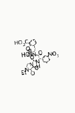 CCN1CCN(C(=O)NC(C(=O)N[C@H]2Cc3cccc(C(=O)O)c3OB2O)c2cccc([N+](=O)[O-])c2)C(=O)C1=O